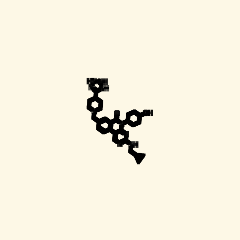 O=c1c2cc(CN3CCC(C4=NNNN4)CC3)ccc2c2cnc(NCC3CC3)nc2n1C1CCC(O)CC1